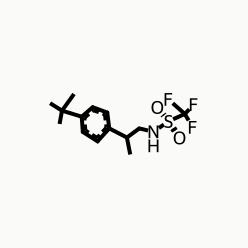 CC(CNS(=O)(=O)C(F)(F)F)c1ccc(C(C)(C)C)cc1